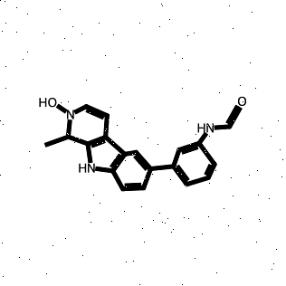 CC1c2[nH]c3ccc(-c4cccc(NC=O)c4)cc3c2C=CN1O